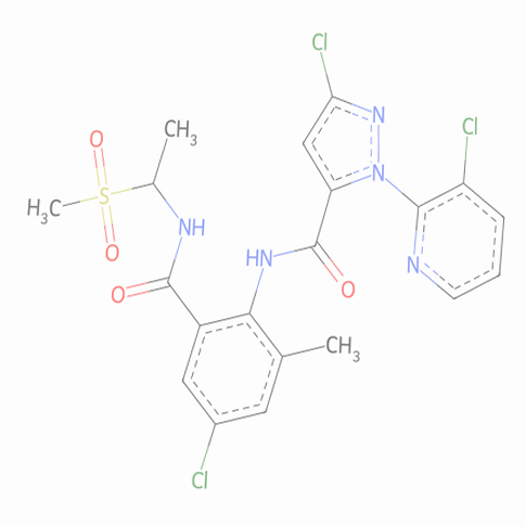 Cc1cc(Cl)cc(C(=O)NC(C)S(C)(=O)=O)c1NC(=O)c1cc(Cl)nn1-c1ncccc1Cl